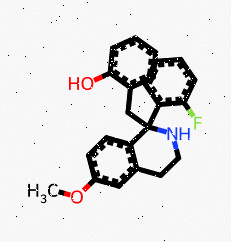 COc1ccc2c(c1)CCNC2(Cc1ccccc1O)c1ccccc1F